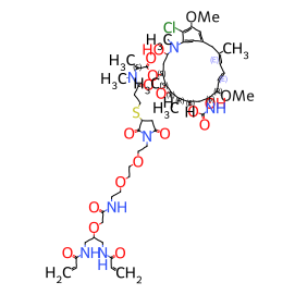 C=CC(=O)NCC(CNC(=O)C=C)OCC(=O)NCCOCCOCCN1C(=O)CC(SCCC(=O)N(C)[C@@H](C)C(=O)O[C@H]2CC(O)N(C)c3cc(cc(OC)c3Cl)C/C(C)=C/C=C/[C@@H](OC)[C@@]3(O)C[C@H](OC(=O)N3)[C@@H](C)[C@@H]3O[C@@]23C)C1=O